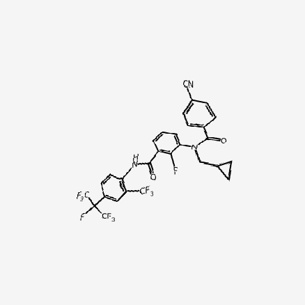 N#Cc1ccc(C(=O)N(CC2CC2)c2cccc(C(=O)Nc3ccc(C(F)(C(F)(F)F)C(F)(F)F)cc3C(F)(F)F)c2F)cc1